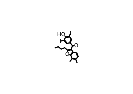 CCCCc1oc2c(C)c(C)ccc2c1C(=O)c1cc(I)c(O)c(I)c1